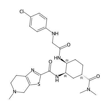 CN1CCc2nc(C(=O)N[C@@H]3C[C@@H](C(=O)N(C)C)CC[C@@H]3NC(=O)CNc3ccc(Cl)cc3)sc2C1